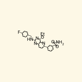 CCOc1nc(NCc2ccc(F)cc2)nc2ccc(-c3cccc(S(N)(=O)=O)c3)nc12